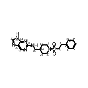 O=S(=O)(CCc1ccccc1)N1CCC(CNc2ncc3nc[nH]c3n2)CC1